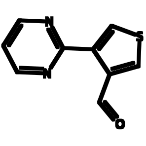 O=Cc1cscc1-c1ncccn1